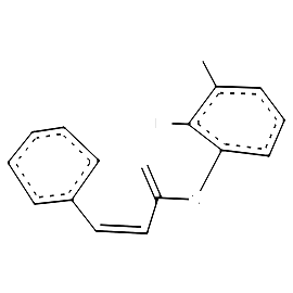 O=C(/C=C\c1ccccc1)Nc1cccc(F)c1Br